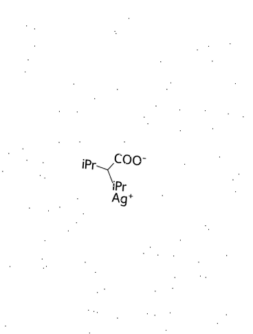 CC(C)C(C(=O)[O-])C(C)C.[Ag+]